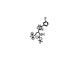 CC(C)(C)OC(=O)NC(CCS(C)(=O)=O)c1nc(-c2cccc(F)c2)no1